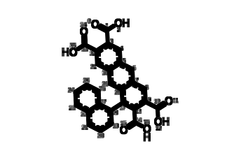 O=C(O)c1cc2cc3cc(C(=O)O)c(C(=O)O)c(-c4cccc5ccccc45)c3cc2cc1C(=O)O